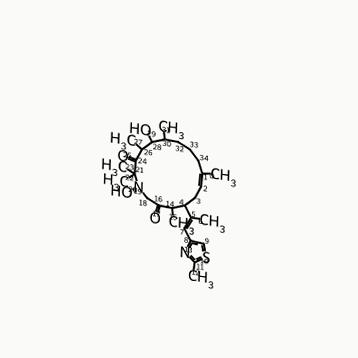 C/C1=C/CC(/C(C)=C/c2csc(C)n2)C(C)C(=O)CN(O)C(C)(C)C(=O)C(C)C(O)C(C)CCC1